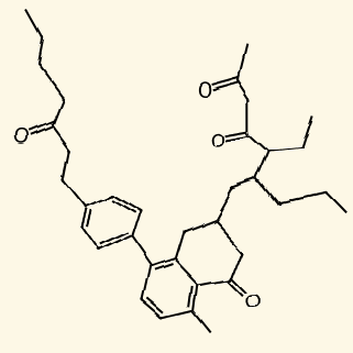 CCCCC(=O)CCc1ccc(-c2ccc(C)c3c2CC(CC(CCC)C(CC)C(=O)CC(C)=O)CC3=O)cc1